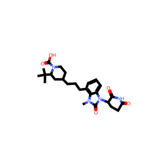 Cn1c(=O)n(C2CCC(=O)NC2=O)c2cccc(CCCC3CCN(C(=O)O)C(C(C)(C)C)C3)c21